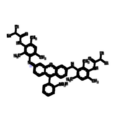 CCC(CC)C(=O)Nc1c(C)cc(C)c(/N=c2/ccc3c(-c4ccccc4S(=O)(=O)O)c4ccc(Nc5c(C)cc(C)c(NC(=O)C(CC)CC)c5C)cc4oc-3c2)c1C